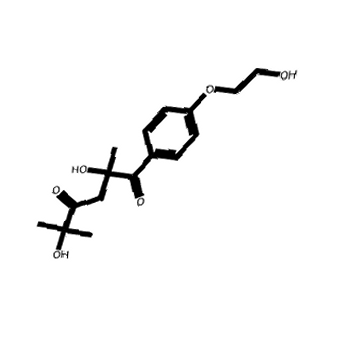 CC(C)(O)C(=O)CC(C)(O)C(=O)c1ccc(OCCO)cc1